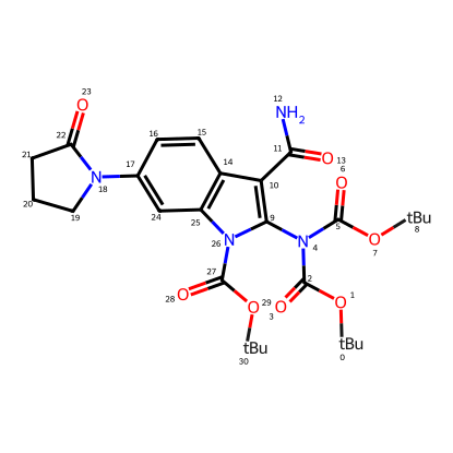 CC(C)(C)OC(=O)N(C(=O)OC(C)(C)C)c1c(C(N)=O)c2ccc(N3CCCC3=O)cc2n1C(=O)OC(C)(C)C